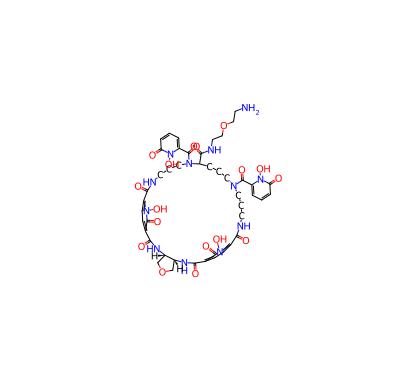 NCCOCCNC(=O)C1CCCN(C(=O)c2cccc(=O)n2O)CCCNC(=O)c2ccc(c(=O)n2O)C(=O)N[C@@H]2COC[C@@H]2NC(=O)c2ccc(n(O)c2=O)C(=O)NCCCN1C(=O)c1cccc(=O)n1O